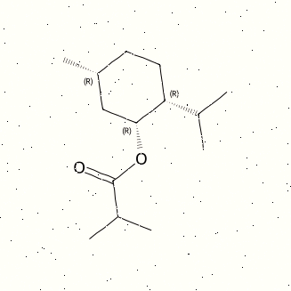 CC(C)C(=O)O[C@@H]1C[C@H](C)CC[C@@H]1C(C)C